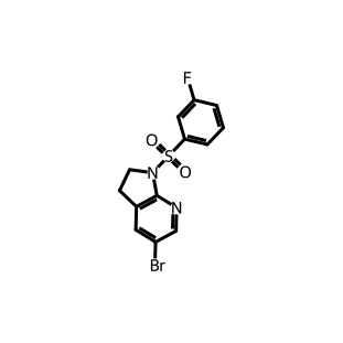 O=S(=O)(c1cccc(F)c1)N1CCc2cc(Br)cnc21